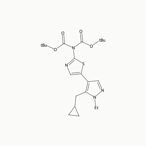 CCn1ncc(-c2cnc(N(C(=O)OC(C)(C)C)C(=O)OC(C)(C)C)s2)c1CC1CC1